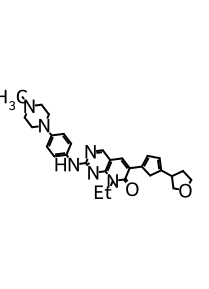 CCn1c(=O)c(C2=CC=C(C3CCOC3)C2)cc2cnc(Nc3ccc(N4CCN(C)CC4)cc3)nc21